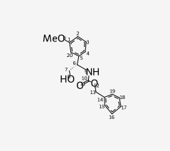 COc1cccc([C@@H](CO)NC(=O)OCc2ccccc2)c1